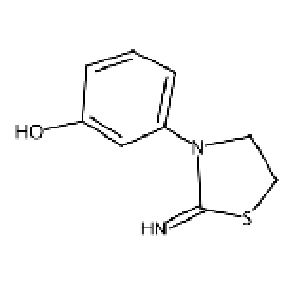 N=C1SCCN1c1cccc(O)c1